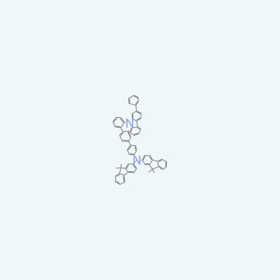 CC1(C)c2ccccc2-c2ccc(N(c3ccc(-c4ccc(-c5ccccc5-n5c6ccccc6c6ccc(-c7ccccc7)cc65)cc4)cc3)c3ccc4c(c3)C(C)(C)c3ccccc3-4)cc21